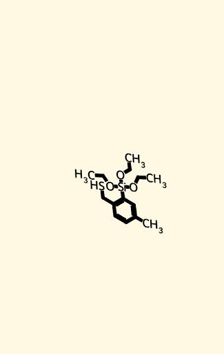 CCO[Si](OCC)(OCC)c1cc(C)ccc1CS